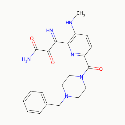 CNc1ccc(C(=O)N2CCN(Cc3ccccc3)CC2)nc1C(=N)C(=O)C(N)=O